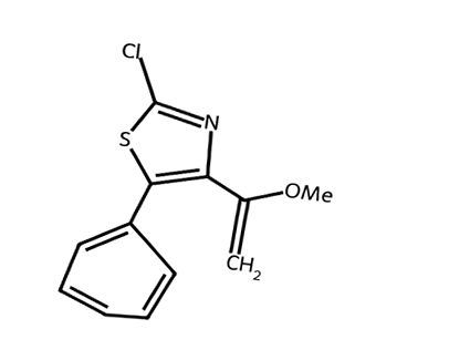 C=C(OC)c1nc(Cl)sc1-c1ccccc1